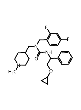 CN1CCC(CN(Cc2ccc(F)cc2F)C(=O)NC(COC2CC2)c2ccccc2)CC1